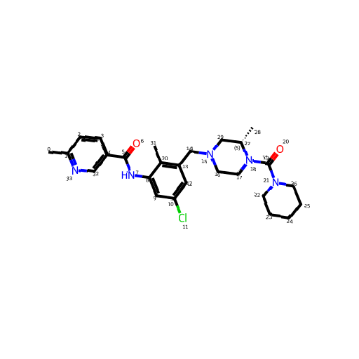 Cc1ccc(C(=O)Nc2cc(Cl)cc(CN3CCN(C(=O)N4CCCCC4)[C@@H](C)C3)c2C)cn1